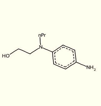 C[CH]CN(CCO)c1ccc(N)cc1